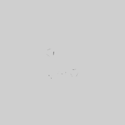 CN(C)CC1CC(Cc2ccc(Cl)cc2)CCC1(O)CCc1ccccc1